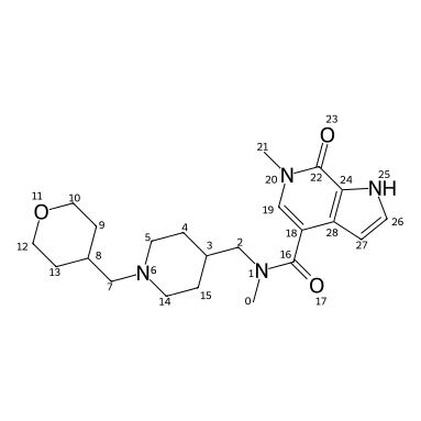 CN(CC1CCN(CC2CCOCC2)CC1)C(=O)c1cn(C)c(=O)c2[nH]ccc12